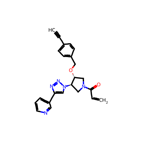 C#Cc1ccc(CO[C@@H]2CN(C(=O)C=C)C[C@H]2n2cc(-c3cccnc3)nn2)cc1